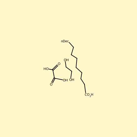 CCCCCCCCCCCCCCCCCC(=O)O.O=C(O)C(=O)O.OCCO